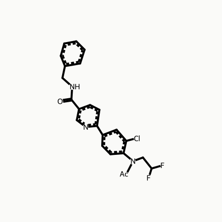 CC(=O)N(CC(F)F)c1ccc(-c2ccc(C(=O)NCc3ccccc3)cn2)cc1Cl